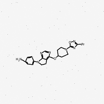 CC(C)c1noc(N2CCC(Oc3ncnc4c3CCN4c3ccc(N)cc3)CC2)n1